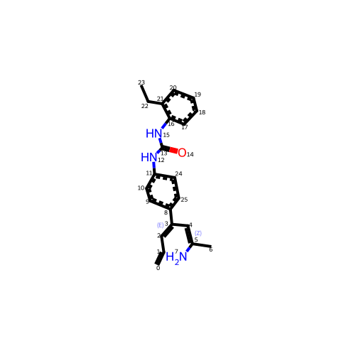 C=C/C=C(\C=C(\C)N)c1ccc(NC(=O)Nc2ccccc2CC)cc1